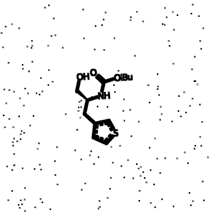 CC(C)COC(=O)N[C@H](CO)Cc1ccsc1